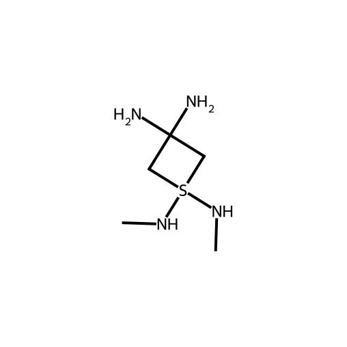 CNS1(NC)CC(N)(N)C1